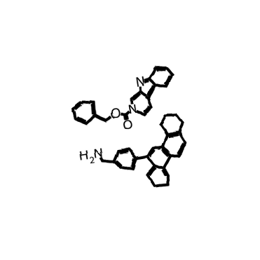 NCc1ccc(-c2cc3c4c(ccc3c3c2=CCCC=3)CCCC4)cc1.O=C(OCc1ccccc1)n1ccc2c3ccccc3nc-2c1